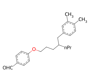 CCCC(CCCOc1ccc(C=O)cc1)Cc1ccc(C)c(C)c1